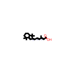 CC(/C=C/C=C1/C=C2C(CCCC2(C)C)C1(C)C)=C\C(=O)O